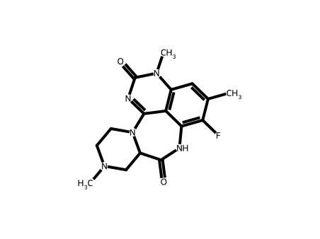 Cc1cc2c3c(nc(=O)n2C)N2CCN(C)CC2C(=O)Nc3c1F